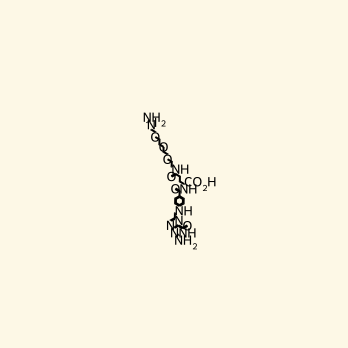 NCN(I)CCOCCOCCOCCNC(=O)CCC(NC(=O)c1ccc(NCc2cnc3nc(N)[nH]c(=O)c3n2)cc1)C(=O)O